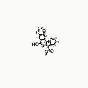 COC(=O)c1cc(-c2cc3c(cc2C(=O)O)OCCO3)n2ccccc12